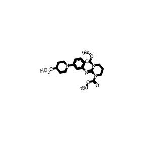 CC(C)(C)OC(=O)N1CCCN(C(=O)OC(C)(C)C)C1=Nc1cccc(N2CCC(C(=O)O)CC2)c1